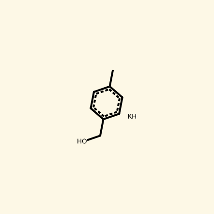 Cc1ccc(CO)cc1.[KH]